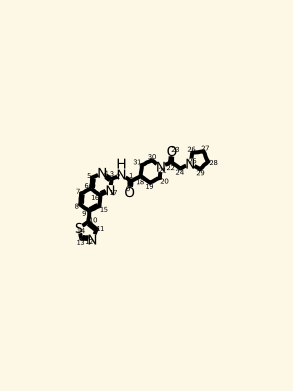 O=C(Nc1ncc2ccc(-c3cncs3)cc2n1)C1CCN(C(=O)CN2CCCC2)CC1